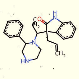 C=CCC1(C(C=C)N2CCNCC2c2ccccc2)C(=O)Nc2ccccc21